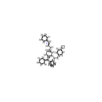 Clc1ccc(CCn2nnnc2[C@H](c2ccccc2)N2CCN(C/C=C/c3ccccc3)CC2)cc1